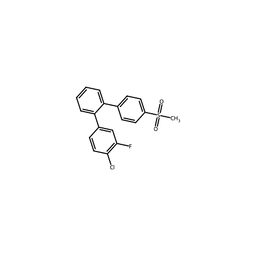 CS(=O)(=O)c1ccc(-c2ccccc2-c2ccc(Cl)c(F)c2)cc1